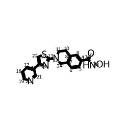 O=C(NO)c1ccc2c(c1)CCN(c1nc(-c3cccnc3)cs1)C2